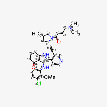 COc1c(Cl)cccc1Nc1c(-c2ccncc2C#C[C@@H]2C[C@@H](C)CN2C(=O)/C=C/CN(C)C)[nH]c2c1C(=O)CCC2